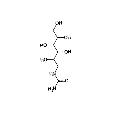 NC(=O)NCC(O)C(O)C(O)C(O)CO